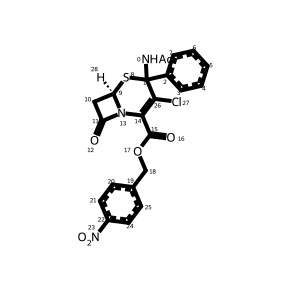 CC(=O)NC1(c2ccccc2)S[C@@H]2CC(=O)N2C(C(=O)OCc2ccc([N+](=O)[O-])cc2)=C1Cl